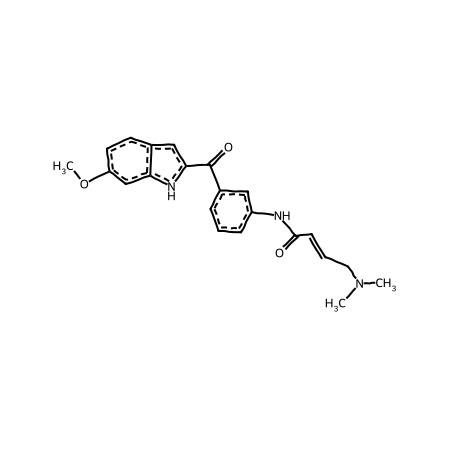 COc1ccc2cc(C(=O)c3cccc(NC(=O)/C=C/CN(C)C)c3)[nH]c2c1